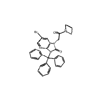 O=C(Cn1c(=O)n(C(c2ccccc2)(c2ccccc2)c2ccccc2)c2ncc(Br)cc21)N1CCC1